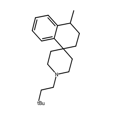 CC1CCC2(CCN(CCC(C)(C)C)CC2)c2ccccc21